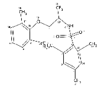 Cc1cc(C)c(S(=O)(=O)NC(COc2c(C)cccc2C)C(F)(F)F)c(C)c1